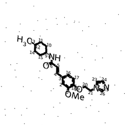 COc1cc(C=CC(=O)N[C@H]2CC[C@H](C)CC2)ccc1OCCn1ccnc1